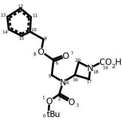 CC(C)(C)OC(=O)N(CC(=O)OCc1ccccc1)C1CN(C(=O)O)C1